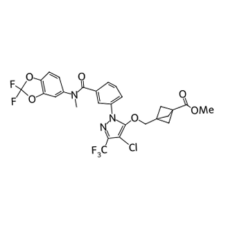 COC(=O)C12CC(COc3c(Cl)c(C(F)(F)F)nn3-c3cccc(C(=O)N(C)c4ccc5c(c4)OC(F)(F)O5)c3)(C1)C2